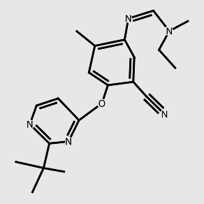 CCN(C)/C=N\c1cc(C#N)c(Oc2ccnc(C(C)(C)C)n2)cc1C